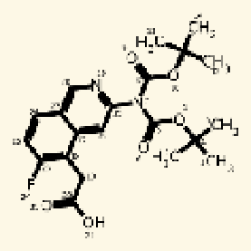 CC(C)(C)OC(=O)N(C(=O)OC(C)(C)C)c1cc2c(CC(=O)O)c(F)ccc2cn1